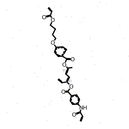 C=CC(=O)Nc1ccc(C(=O)O/C(C=C)=C/C=C(\C)OC(=O)c2ccc(OCCCCOC(=O)C=C)cc2)cc1